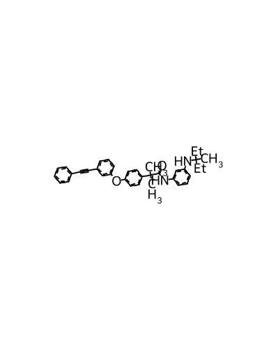 CCC(C)(CC)Nc1cccc(NC(=O)C(C)(C)c2ccc(Oc3cccc(C#Cc4ccccc4)c3)cc2)c1